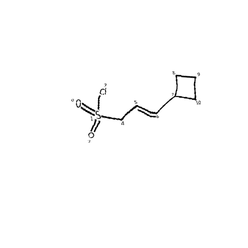 O=S(=O)(Cl)CC=CC1CCC1